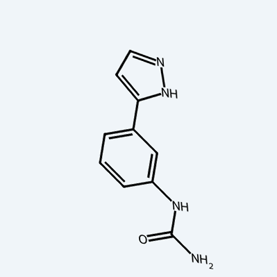 NC(=O)Nc1cccc(-c2ccn[nH]2)c1